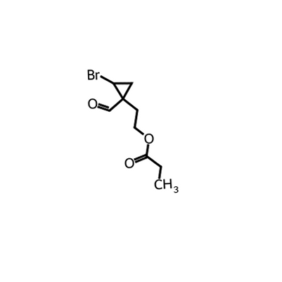 CCC(=O)OCCC1(C=O)CC1Br